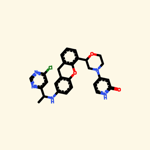 CC(Nc1ccc2c(c1)Cc1cccc(C3CN(c4cc[nH]c(=O)c4)CCO3)c1O2)c1cc(Cl)ncn1